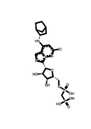 O=P(O)(O)CP(=O)(O)OC[C@H]1O[C@@H](c2ncc3c(N[C@H]4CC5CCC4C5)cc(Cl)nn23)[C@H](O)[C@@H]1O